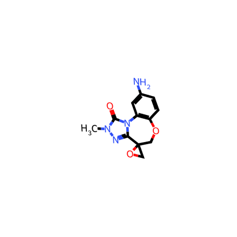 Cn1nc2n(c1=O)-c1cc(N)ccc1OCC21CO1